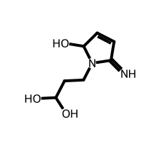 N=C1C=CC(O)N1CCC(O)O